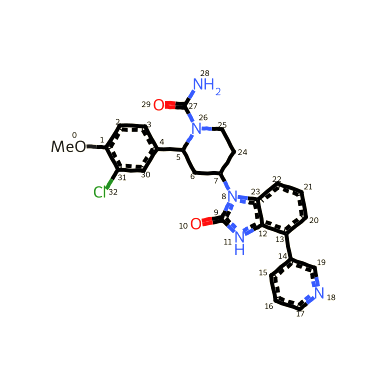 COc1ccc(C2CC(n3c(=O)[nH]c4c(-c5cccnc5)cccc43)CCN2C(N)=O)cc1Cl